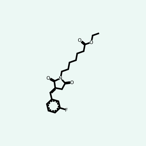 CCOC(=O)CCCCCCN1C(=O)C/C(=C\c2cccc(F)c2)C1=O